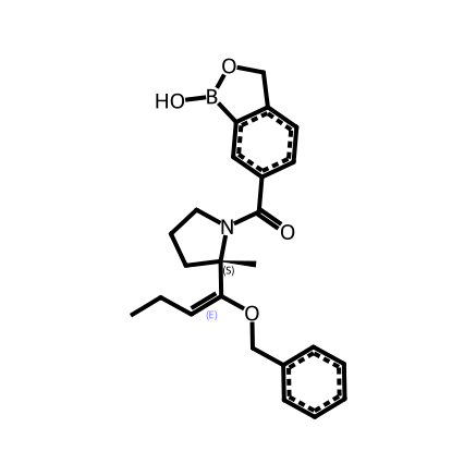 CC/C=C(/OCc1ccccc1)[C@]1(C)CCCN1C(=O)c1ccc2c(c1)B(O)OC2